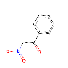 O=C(C[N+](=O)[O-])c1cc[c]cc1